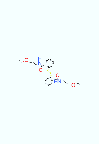 CCOCCCNC(=O)c1ccccc1SSc1ccccc1C(=O)NCCCOCC